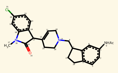 CC(=O)Nc1ccc2c(c1)C(CN1CC=C(C3C(=O)N(C)c4cc(Cl)ccc43)CC1)CC2